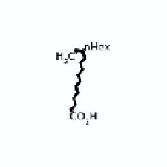 C=CC(CCCCCC)CCCCCCCCCCC(=O)O